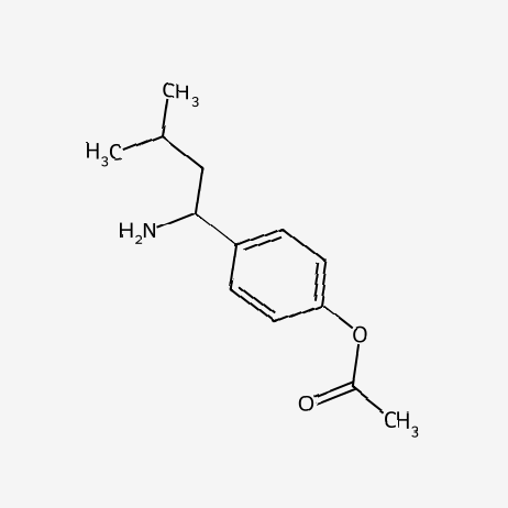 CC(=O)Oc1ccc(C(N)CC(C)C)cc1